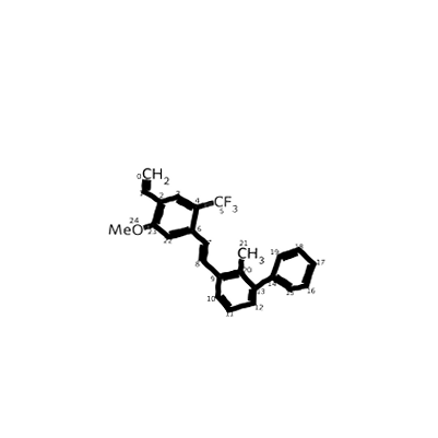 C=Cc1cc(C(F)(F)F)c(/C=C/c2cccc(-c3ccccc3)c2C)cc1OC